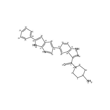 NC1CCN(C(=O)c2n[nH]c3ccc(-c4cnc5[nH]c(-c6ccccc6)cc5c4)cc23)CC1